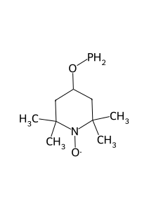 CC1(C)CC(OP)CC(C)(C)N1[O]